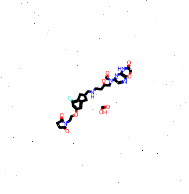 O=C1COc2ncc(N3CC(CCNCC4Cc5cc(OCCN6C(=O)CCC6=O)cc(F)c5C4)OC3=O)nc2N1.O=CO